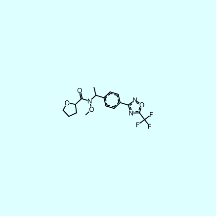 CON(C(=O)C1CCCO1)C(C)c1ccc(-c2noc(C(F)(F)F)n2)cc1